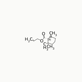 C=CCOC(=O)[C@@H]1[C@@H](C)CCCC1(C)C